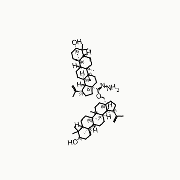 C=C(C)[C@@H]1CC[C@]2(COC(=NN)[C@]34CC[C@@H](C(=C)C)[C@@H]3[C@H]3CC[C@@H]5[C@@]6(C)CC[C@H](O)C(C)(C)[C@@H]6CC[C@@]5(C)[C@]3(C)CC4)CC[C@]3(C)[C@H](CC[C@@H]4[C@@]5(C)CC[C@H](O)C(C)(C)[C@@H]5CC[C@]43C)[C@@H]12